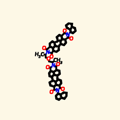 CC(COCC(C)N1C(=O)c2ccc3c4ccc5c6c(ccc(c7ccc(c2c37)C1=O)c64)C(=O)N(c1cccc2ccccc12)C5=O)N1C(=O)c2ccc3c4ccc5c6c(ccc(c7ccc(c2c37)C1=O)c64)C(=O)N(c1cccc2ccccc12)C5=O